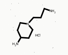 Cl.NCCCN1CCC(N)CC1